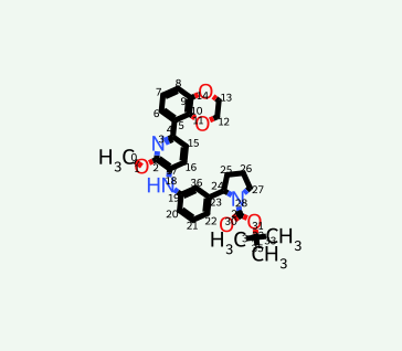 COc1nc(-c2cccc3c2OCCO3)ccc1Nc1cccc(C2CCCN2C(=O)OC(C)(C)C)c1